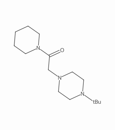 CC(C)(C)N1CCN(CC(=O)N2CCCCC2)CC1